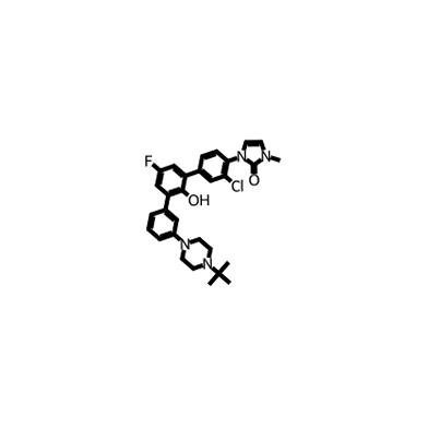 Cn1ccn(-c2ccc(-c3cc(F)cc(-c4cccc(N5CCN(C(C)(C)C)CC5)c4)c3O)cc2Cl)c1=O